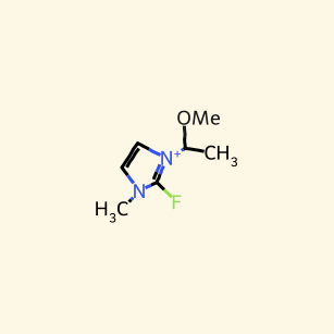 COC(C)[n+]1ccn(C)c1F